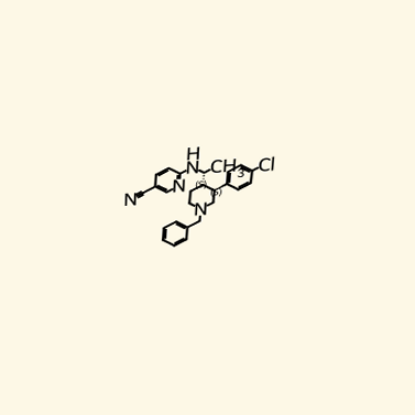 CC(Nc1ccc(C#N)cn1)[C@H]1CCN(Cc2ccccc2)C[C@@H]1c1ccc(Cl)cc1